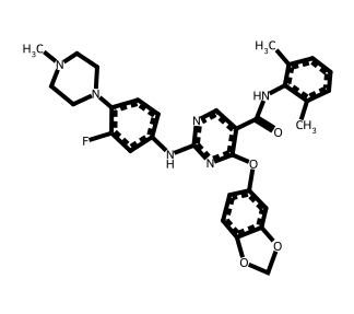 Cc1cccc(C)c1NC(=O)c1cnc(Nc2ccc(N3CCN(C)CC3)c(F)c2)nc1Oc1ccc2c(c1)OCO2